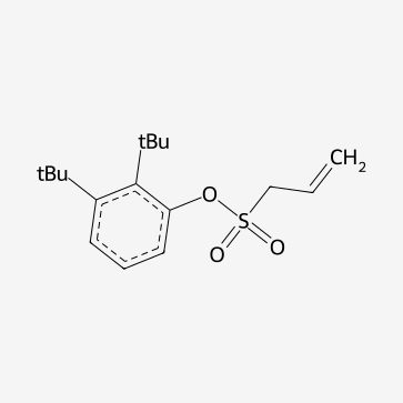 C=CCS(=O)(=O)Oc1cccc(C(C)(C)C)c1C(C)(C)C